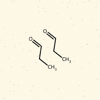 CCC=O.CCC=O